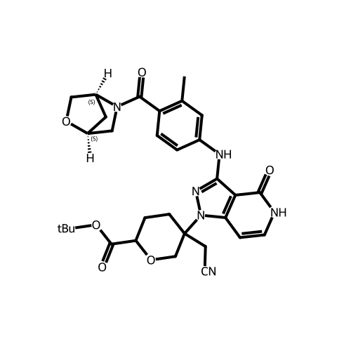 Cc1cc(Nc2nn(C3(CC#N)CCC(C(=O)OC(C)(C)C)OC3)c3cc[nH]c(=O)c23)ccc1C(=O)N1C[C@@H]2C[C@H]1CO2